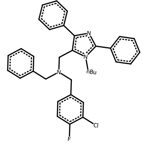 CCCCn1c(-c2ccccc2)nc(-c2ccccc2)c1CN(Cc1ccccc1)Cc1ccc(F)c(Cl)c1